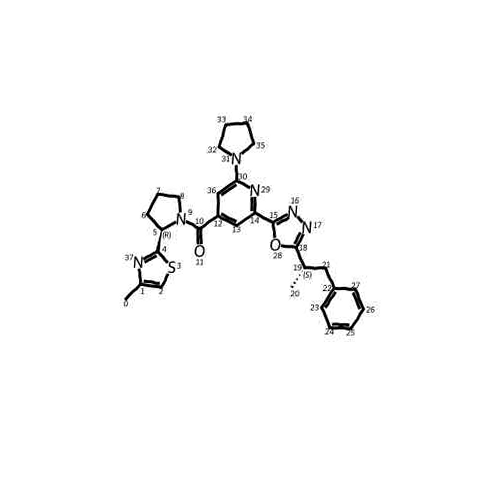 Cc1csc([C@H]2CCCN2C(=O)c2cc(-c3nnc([C@@H](C)Cc4ccccc4)o3)nc(N3CCCC3)c2)n1